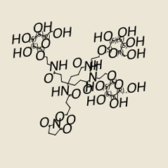 O=C(CCC(CCC(=O)NCCO[C@H]1O[C@H](CO)[C@@H](O)[C@H](O)[C@@H]1O)(CCC(=O)NCCO[C@H]1O[C@H](CO)[C@@H](O)[C@H](O)[C@@H]1O)NC(=O)CCC(=O)ON1C(=O)CCC1=O)NCCO[C@H]1O[C@H](CO)[C@@H](O)[C@H](O)[C@@H]1O